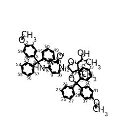 COc1ccc(C(Nc2ccn([C@@H]3O[C@H]([C@@H](C)O)[C@@H](C)[C@@H]3OC(c3ccccc3)(c3ccccc3)c3ccc(OC)cc3)c(=O)n2)(c2ccccc2)c2ccccc2)cc1